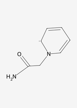 NC(=O)CN1[CH]C=CC=C1